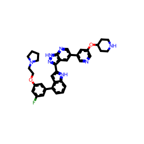 Fc1cc(OCCN2CCCC2)cc(-c2cccc3[nH]c(-c4n[nH]c5ncc(-c6cncc(OC7CCNCC7)c6)cc45)cc23)c1